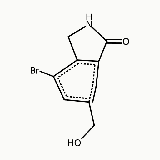 O=C1NCc2c(Br)cc(CO)cc21